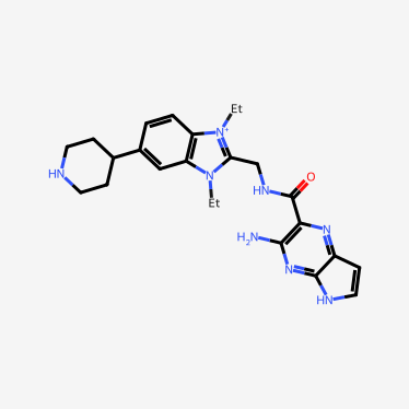 CCn1c(CNC(=O)c2nc3cc[nH]c3nc2N)[n+](CC)c2ccc(C3CCNCC3)cc21